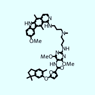 COc1ccc2[nH]c3c(C)c4ccnc(NCCCN(C)CCCNc5nc(OC)c(NC(=O)c6ccc(Oc7cc8c(cc7C)CCC8(C)C)o6)c(OC)n5)c4c(C)c3c2c1